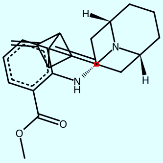 C=C1C2CC1C2=CN1[C@@H]2CCC[C@H]1C[C@@H](Nc1ccccc1C(=O)OC)C2